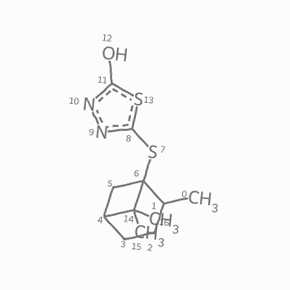 CC1CCC2CC1(Sc1nnc(O)s1)C2(C)C